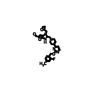 Cc1ccc(COc2nccc(C3=CCN(CC4Nc5oc(C=O)cc5N4CC4CCO4)CC3)n2)c(F)c1